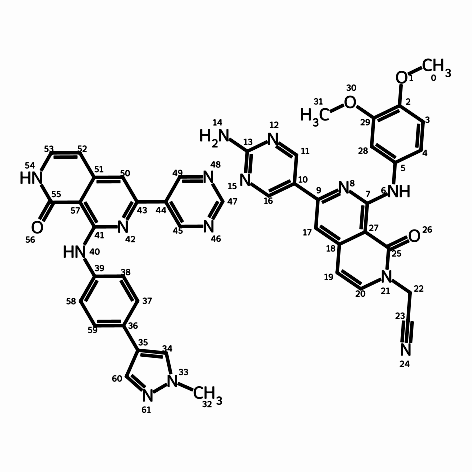 COc1ccc(Nc2nc(-c3cnc(N)nc3)cc3ccn(CC#N)c(=O)c23)cc1OC.Cn1cc(-c2ccc(Nc3nc(-c4cncnc4)cc4cc[nH]c(=O)c34)cc2)cn1